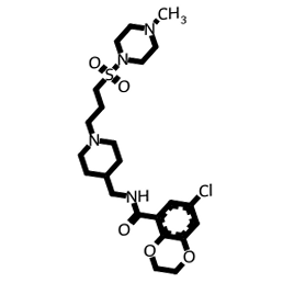 CN1CCN(S(=O)(=O)CCCN2CCC(CNC(=O)c3cc(Cl)cc4c3OCCO4)CC2)CC1